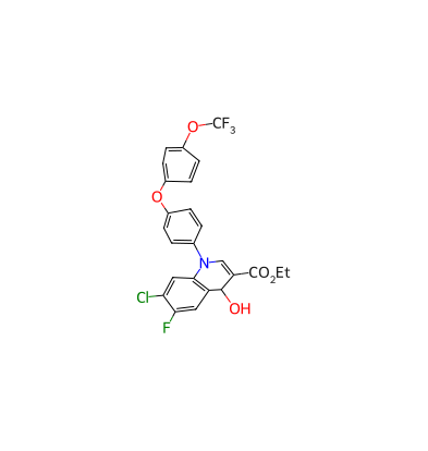 CCOC(=O)C1=CN(c2ccc(Oc3ccc(OC(F)(F)F)cc3)cc2)c2cc(Cl)c(F)cc2C1O